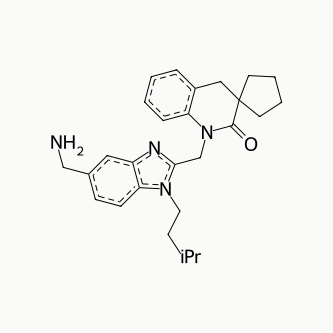 CC(C)CCn1c(CN2C(=O)C3(CCCC3)Cc3ccccc32)nc2cc(CN)ccc21